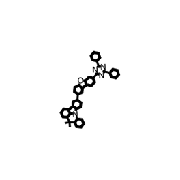 CC1(C)c2ccccc2-n2c3ccc(-c4ccc5oc6cc(-c7nc(-c8ccccc8)nc(-c8ccccc8)n7)ccc6c5c4)cc3c3cccc1c32